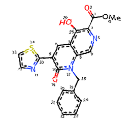 COC(=O)c1ncc2c(cc(-c3nccs3)c(=O)n2Cc2ccccc2)c1O